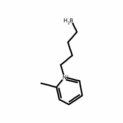 BCCCC[n+]1ccccc1C